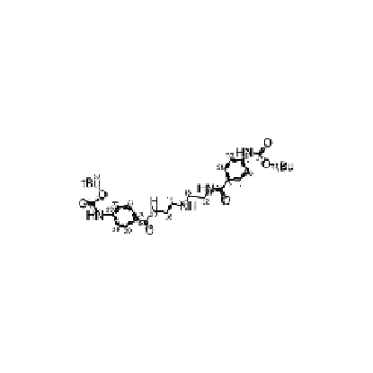 CC(C)(C)OC(=O)Nc1ccc(C(=O)NCCNCCNC(=O)c2ccc(NC(=O)OC(C)(C)C)cc2)cc1